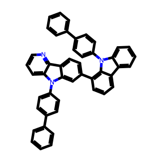 c1ccc(-c2ccc(-n3c4cc(-c5cccc6c7ccccc7n(-c7ccc(-c8ccccc8)cc7)c56)ccc4c4ncccc43)cc2)cc1